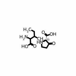 CCC(C)C(N)C(=O)O.O=C(O)[C@H]1NCCC1=O